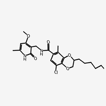 CCCCCCC1COc2c(Cl)cc(C(=O)NCc3c(OC)cc(C)[nH]c3=O)c(C)c2O1